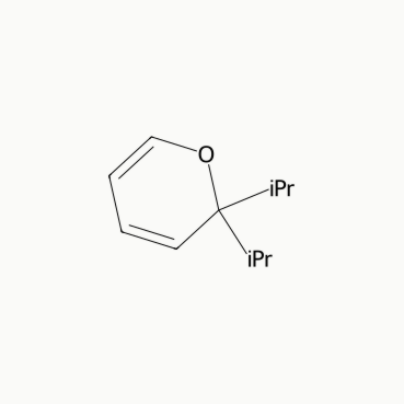 CC(C)C1(C(C)C)C=CC=CO1